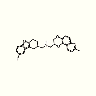 Cc1ccc2c3c(ccc2n1)OC[C@H](CNC[C@@H]1CCc2oc4ccc(F)cc4c2C1)O3